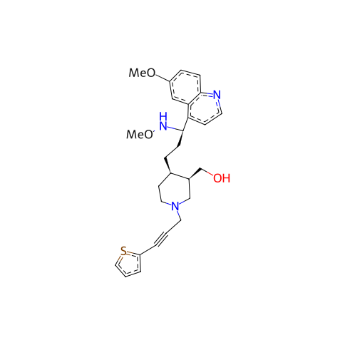 CON[C@H](CC[C@@H]1CCN(CC#Cc2cccs2)C[C@@H]1CO)c1ccnc2ccc(OC)cc12